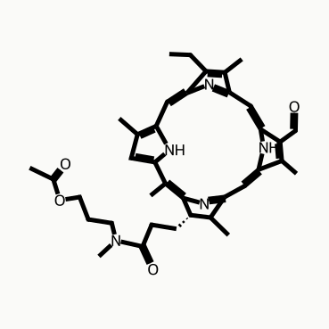 CCC1=C(C)c2cc3[nH]c(cc4nc(c(C)c5cc(C)c(cc1n2)[nH]5)[C@@H](CCC(=O)N(C)CCCOC(C)=O)C4C)c(C)c3C=O